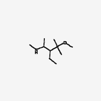 CCC(C(C)NC)C(C)(C)OC